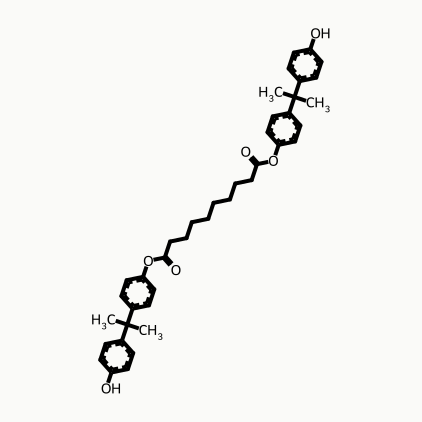 CC(C)(c1ccc(O)cc1)c1ccc(OC(=O)CCCCCCCCC(=O)Oc2ccc(C(C)(C)c3ccc(O)cc3)cc2)cc1